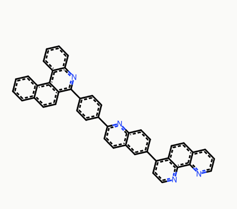 c1ccc2c(c1)ccc1c(-c3ccc(-c4ccc5cc(-c6ccnc7c6ccc6cccnc67)ccc5n4)cc3)nc3ccccc3c12